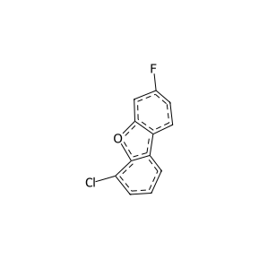 Fc1ccc2c(c1)oc1c(Cl)cccc12